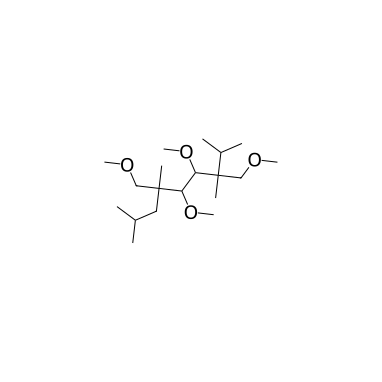 COCC(C)(CC(C)C)C(OC)C(OC)C(C)(COC)C(C)C